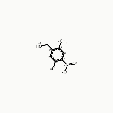 Cc1cc([N+](=O)[O-])c(Cl)cc1CO